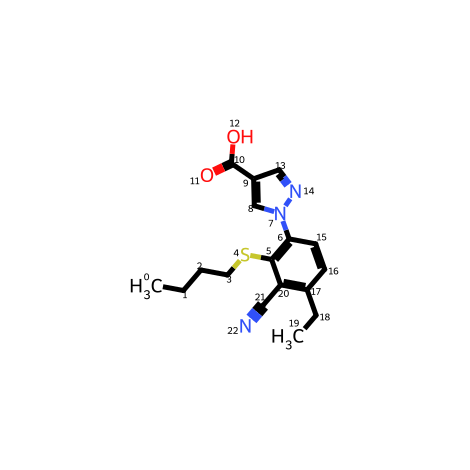 CCCCSc1c(-n2cc(C(=O)O)cn2)ccc(CC)c1C#N